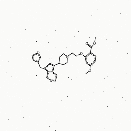 COC(=O)c1ccc(OC)cc1OCCN1CCC(c2cn(Cc3ccoc3)c3cnccc23)CC1